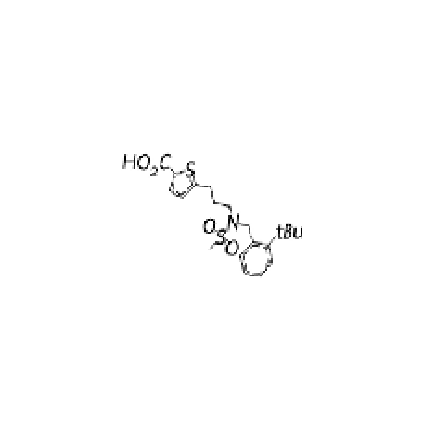 CC(C)(C)c1ccccc1CN(CCCc1ccc(C(=O)O)s1)S(C)(=O)=O